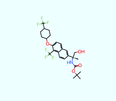 CC(C)(C)OC(=O)N[C@@](C)(CO)c1ccc2c(C(F)(F)F)c(OC3CCC(C(F)(F)F)CC3)ccc2c1